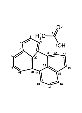 CC(=O)O.c1cc2cccc3c4cccc5cccc(c(c1)c23)c54